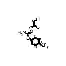 NC(=NOC(=O)CCl)Oc1ccc(C(F)(F)F)cc1